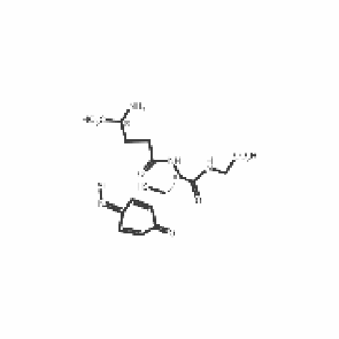 CC(=O)N=C1C=CC(=O)C=C1.N[C@@H](CCC(=O)N[C@@H](CS)C(=O)NCC(=O)O)C(=O)O